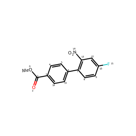 COC(=O)c1ccc(-c2ccc(F)cc2[N+](=O)[O-])cc1